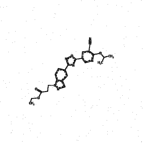 CCOC(=O)CCn1ncc2cc(-c3noc(-c4cnc(OC(C)C)c(C#N)c4)n3)ccc21